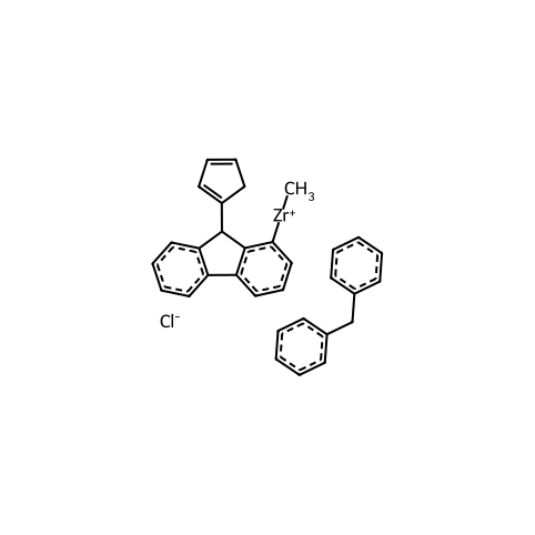 [CH3][Zr+][c]1cccc2c1C(C1=CC=CC1)c1ccccc1-2.[Cl-].c1ccc(Cc2ccccc2)cc1